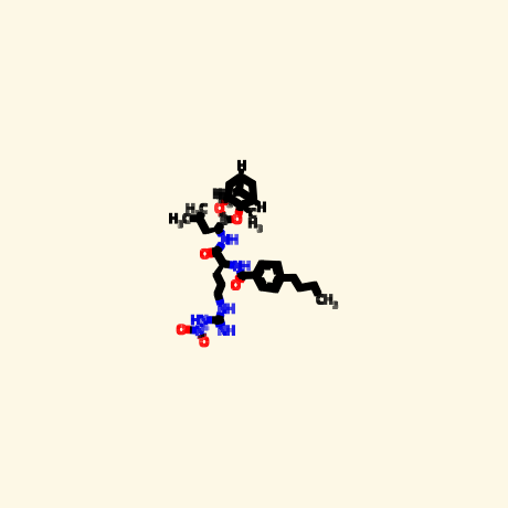 CCCCc1ccc(C(=O)N[C@@H](CCCNC(=N)N[N+](=O)[O-])C(=O)N[C@@H](CC(C)C)B2O[C@@H]3C[C@@H]4C[C@@H](C4(C)C)[C@]3(C)O2)cc1